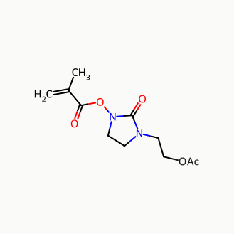 C=C(C)C(=O)ON1CCN(CCOC(C)=O)C1=O